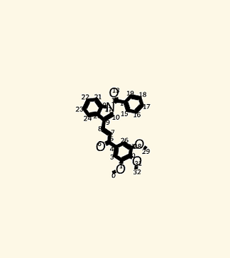 COc1cc(C(=O)/C=C/c2cn(C(=O)c3ccccc3)c3ccccc23)cc(OC)c1OC